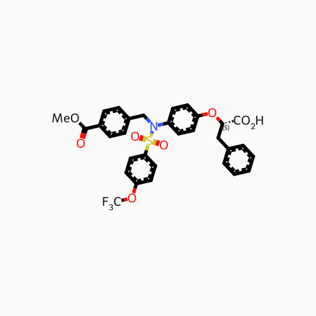 COC(=O)c1ccc(CN(c2ccc(O[C@@H](Cc3ccccc3)C(=O)O)cc2)S(=O)(=O)c2ccc(OC(F)(F)F)cc2)cc1